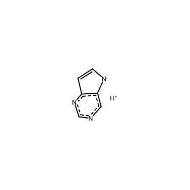 C1=Cc2ncncc2[N]1.[H+]